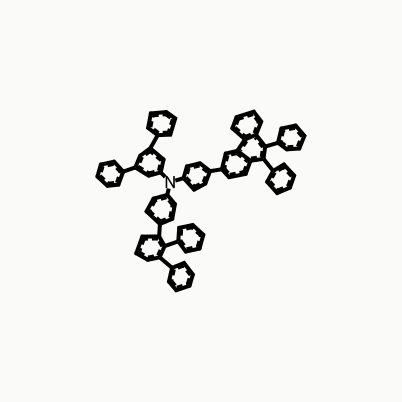 c1ccc(-c2cc(-c3ccccc3)cc(N(c3ccc(-c4ccc5c(-c6ccccc6)c(-c6ccccc6)c6ccccc6c5c4)cc3)c3ccc(-c4cccc(-c5ccccc5)c4-c4ccccc4)cc3)c2)cc1